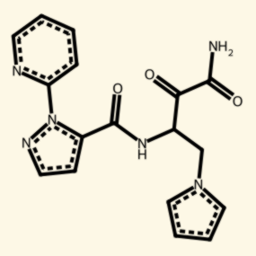 NC(=O)C(=O)C(Cn1cccc1)NC(=O)c1ccnn1-c1ccccn1